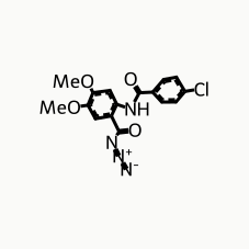 COc1cc(NC(=O)c2ccc(Cl)cc2)c(C(=O)N=[N+]=[N-])cc1OC